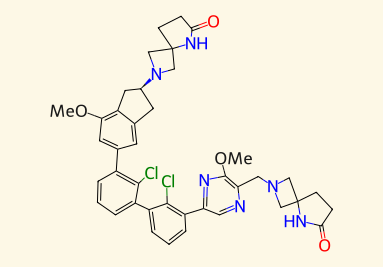 COc1cc(-c2cccc(-c3cccc(-c4cnc(CN5CC6(CCC(=O)N6)C5)c(OC)n4)c3Cl)c2Cl)cc2c1C[C@@H](N1CC3(CCC(=O)N3)C1)C2